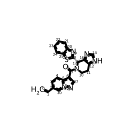 C=Cc1ccc2c(C(=O)N3CCc4[nH]cnc4[C@H]3c3nc4ccccc4s3)cnn2c1